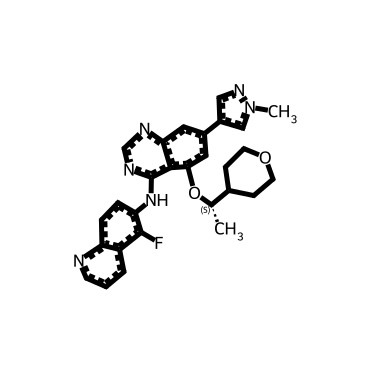 C[C@H](Oc1cc(-c2cnn(C)c2)cc2ncnc(Nc3ccc4ncccc4c3F)c12)C1CCOCC1